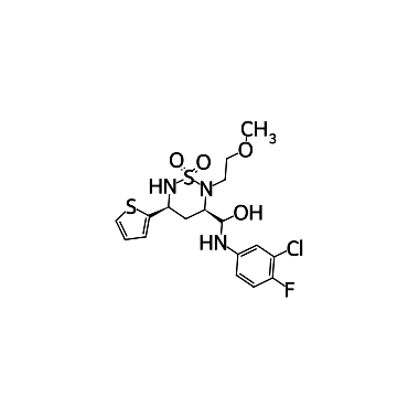 COCCN1[C@@H](C(O)Nc2ccc(F)c(Cl)c2)C[C@@H](c2cccs2)NS1(=O)=O